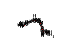 Cc1cn([C@H]2C[C@H](N=[N+]=[N-])[C@@H](COC(=O)OCCSSCCOC(=O)OC[C@@H]3OC(n4ccc(NC(=O)OCCSSCCOC(=O)OC[C@@H]5C=C[C@H](n6cnc7c(NC8CC8)nc(N)nc76)C5)nc4=O)CS3)O2)c(=O)[nH]c1=O